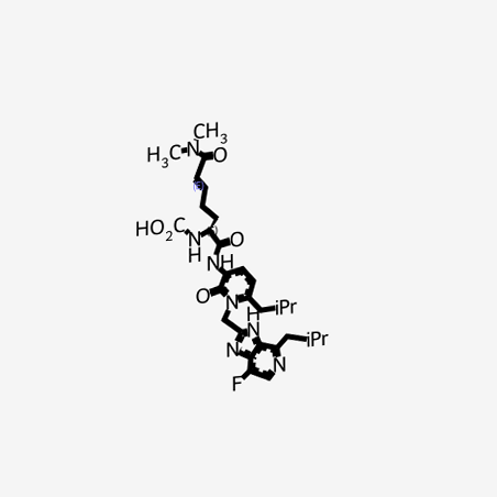 CC(C)Cc1ncc(F)c2nc(Cn3c(CC(C)C)ccc(NC(=O)[C@H](CC/C=C/C(=O)N(C)C)NC(=O)O)c3=O)[nH]c12